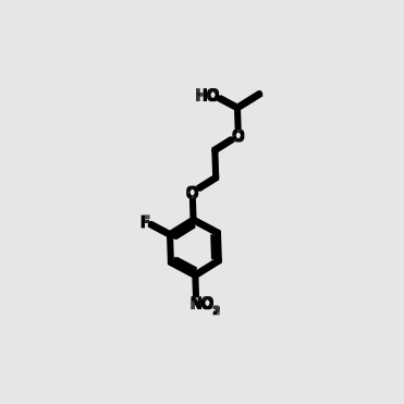 CC(O)OCCOc1ccc([N+](=O)[O-])cc1F